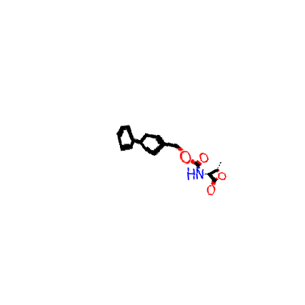 C[C@@H]1OC(=O)[C@@H]1NC(=O)OCC1=CCC(c2ccccc2)C=C1